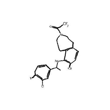 CC(Nc1c(Cl)ccc2c1CCN(C(=O)C(F)(F)F)CC2)c1ccc(F)c(Cl)c1